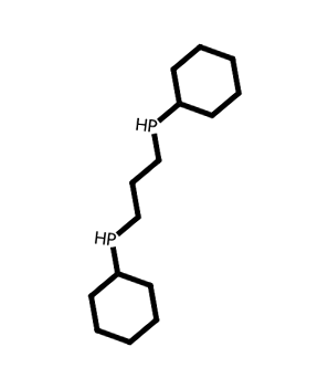 C1CCC(PCCCPC2CCCCC2)CC1